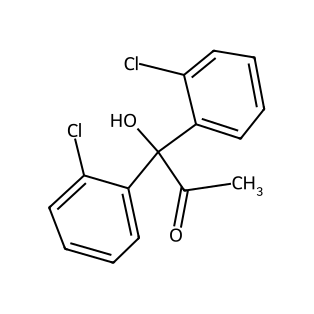 CC(=O)C(O)(c1ccccc1Cl)c1ccccc1Cl